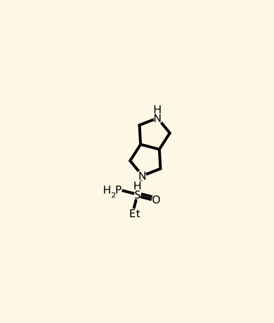 CC[SH](=O)(P)N1CC2CNCC2C1